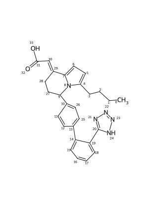 CCCCc1ccc2n1C(c1ccc(-c3ccccc3-c3nnn[nH]3)cc1)CCC2=CC(=O)O